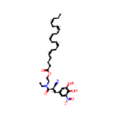 CC/C=C\C/C=C\C/C=C\C/C=C\C/C=C\CCCC(=O)OCCN(CC)C(=O)/C(C#N)=C/c1cc(O)c(O)c([N+](=O)[O-])c1